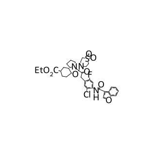 CCOC(=O)[C@H]1CC[C@H](OC(C(=O)Cc2cc(Cl)c(NC(=O)c3coc4ccccc34)cc2F)(N2CCCC2)N2CCS(=O)(=O)CC2)CC1